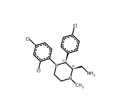 CN1CCN(c2ccc(Cl)cc2Cl)[C@@H](c2ccc(Cl)cc2)[C@H]1CN